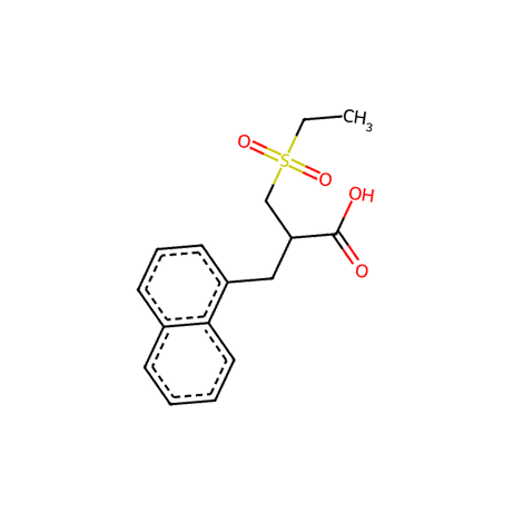 CCS(=O)(=O)CC(Cc1cccc2ccccc12)C(=O)O